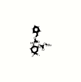 CC(C)(C)OC(=O)N[C@@H]1CC(F)(F)CC[C@H]1NC(=O)OCc1ccccc1